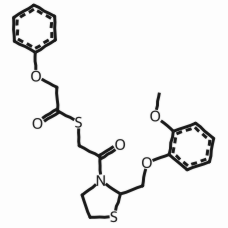 COc1ccccc1OCC1SCCN1C(=O)CSC(=O)COc1ccccc1